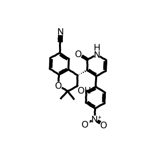 CC1(C)Oc2ccc(C#N)cc2[C@H](c2c(-c3ccc([N+](=O)[O-])cc3)cc[nH]c2=O)[C@H]1O